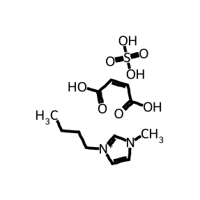 CCCC[n+]1ccn(C)c1.O=C(O)/C=C\C(=O)O.O=S(=O)(O)O